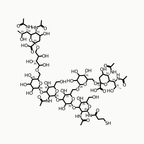 CC(=O)NC1C(O[C@@H]2OC(COC(O)[C@H](O)C(O)CO[C@@]3(C(=O)O)CC(O)[C@H](NC(C)=O)C([C@@H](NC(C)=O)[C@H](C)O)O3)[C@H](O)C(O)C2O)[C@@H](O)C(CO)O[C@H]1OC1C(O)[C@H](OC2C(NC(C)=O)[C@H](NC(=O)CCS)OC(CO)[C@@H]2O)OC(CO[C@@H]2OC(CO[C@@]3(C(=O)O)CC(O)[C@H](NC(C)=O)C([C@@H](NC(C)=O)[C@H](C)O)O3)[C@@H](O)C(O)C2O)[C@@H]1O